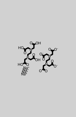 O=C(O)CN(CCN(CC(=O)O)CC(=O)O)CC(=O)O.O=C([O-])CN(CCN(CC(=O)[O-])CC(=O)[O-])CC(=O)[O-].[Na+].[Na+].[Na+].[Na+]